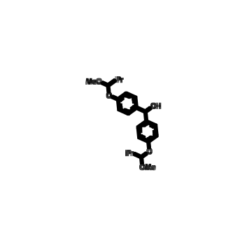 COC(Oc1ccc(C(O)c2ccc(OC(OC)C(C)C)cc2)cc1)C(C)C